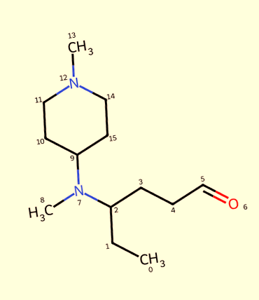 CCC(CCC=O)N(C)C1CCN(C)CC1